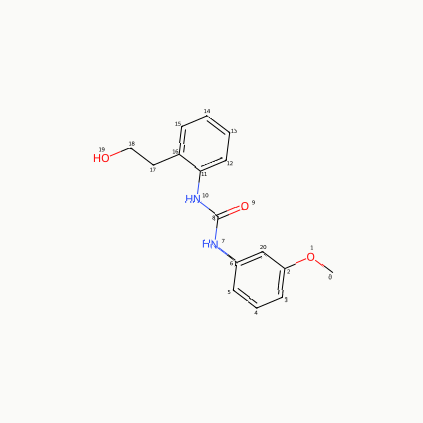 COc1cccc(NC(=O)Nc2ccccc2CCO)c1